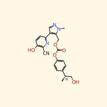 C[C@H](CO)c1ccc(OC(=O)OCc2c(-c3ccc(O)c(C#N)n3)cnn2C)cc1